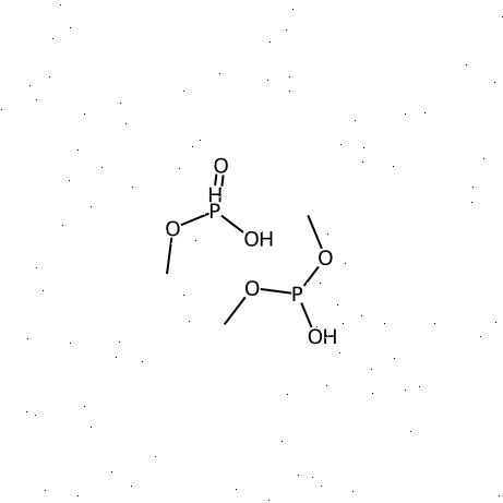 COP(O)OC.CO[PH](=O)O